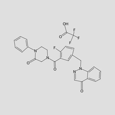 O=C(O)C(F)(F)F.O=C(c1cc(Cn2ncc(=O)c3ccccc32)ccc1F)N1CCN(c2ccccc2)C(=O)C1